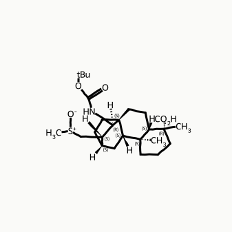 C[S+]([O-])C[C@H]1[C@H]2CC[C@@]3(CC[C@H]4[C@@](C)(CCC[C@@]4(C)C(=O)O)[C@@H]3C2)[C@@H]1NC(=O)OC(C)(C)C